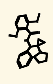 COc1cccc(SC)c1C(=O)NC(c1ccccc1)C1(N2CCCC2)CC1